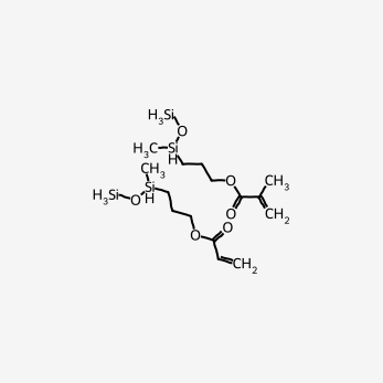 C=C(C)C(=O)OCCC[SiH](C)O[SiH3].C=CC(=O)OCCC[SiH](C)O[SiH3]